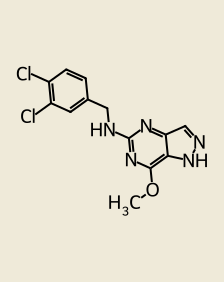 COc1nc(NCc2ccc(Cl)c(Cl)c2)nc2cn[nH]c12